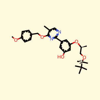 COc1ccc(COc2nc(-c3cc(O)cc(O[C@@H](C)CO[Si](C)(C)C(C)(C)C)c3)ncc2C)cc1